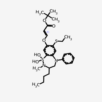 CCCCC1CN(c2ccccc2)c2cc(SCC)c(O/C=C/C(=O)OC(C)(C)C)cc2S(O)(O)N1C